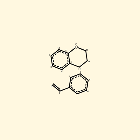 C=Cc1ccccc1.c1ccc2c(c1)CCCO2